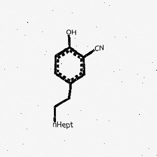 CCCCCCCCCc1ccc(O)c(C#N)c1